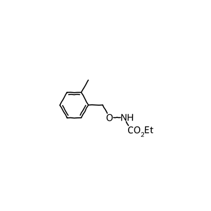 CCOC(=O)NOCc1ccccc1C